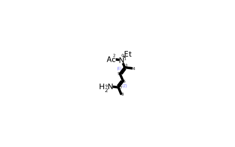 CCN(C(C)=O)/C(C)=C/C=C(/C)N